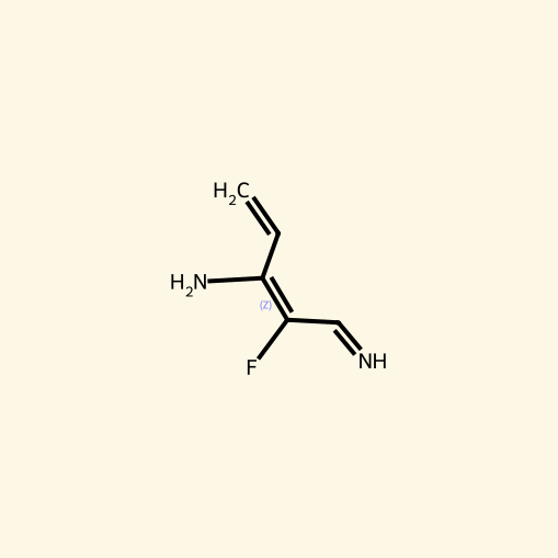 C=C/C(N)=C(/F)C=N